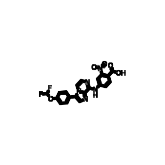 O=C(O)c1ccc(Nc2nccn3c(-c4ccc(OC(F)F)cc4)cnc23)cc1[N+](=O)[O-]